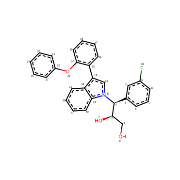 OC[C@@H](O)[C@H](c1cccc(F)c1)n1cc(-c2ccccc2Oc2ccccc2)c2ccccc21